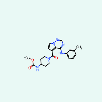 Cc1cccc(Nc2ncnn3ccc(C(=O)N4CCC(NC(=O)OC(C)(C)C)CC4)c23)c1